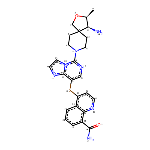 C[C@@H]1OCC2(CCN(c3ncc(Sc4ccnc5c(C(N)=O)cccc45)c4nccn34)CC2)[C@@H]1N